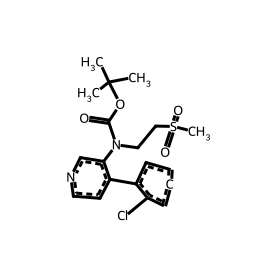 CC(C)(C)OC(=O)N(CCS(C)(=O)=O)c1cnccc1-c1ccccc1Cl